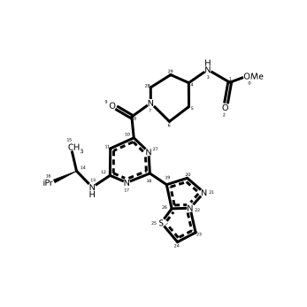 COC(=O)NC1CCN(C(=O)c2cc(N[C@H](C)C(C)C)nc(-c3cnn4ccsc34)n2)CC1